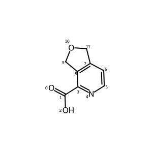 O=C(O)c1nccc2c1COC2